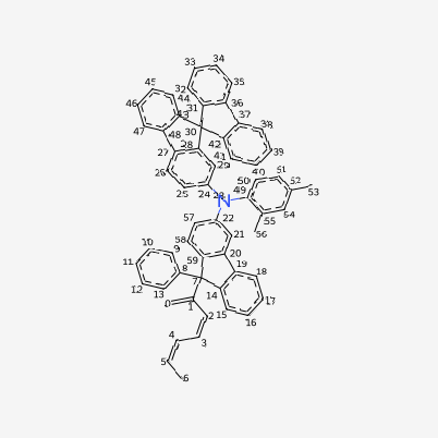 C=C(/C=C\C=C/C)C1(c2ccccc2)c2ccccc2-c2cc(N(c3ccc4c(c3)C3(c5ccccc5-c5ccccc53)c3ccccc3-4)c3ccc(C)cc3C)ccc21